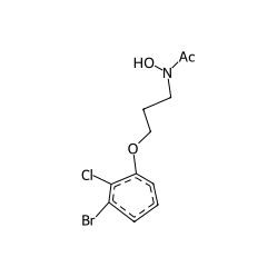 CC(=O)N(O)CCCOc1cccc(Br)c1Cl